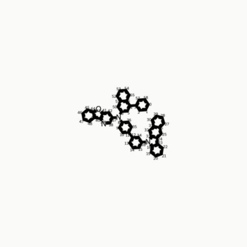 c1ccc(-c2cc(N(c3ccc(-c4cccc(-n5c6ccccc6c6cc7ccccc7cc65)c4)cc3)c3cnc4c(c3)oc3ccccc34)cc3ccccc23)cc1